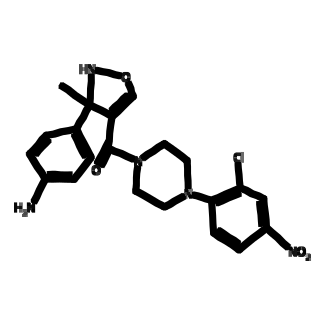 CC1(c2ccc(N)cc2)NOC=C1C(=O)N1CCN(c2ccc([N+](=O)[O-])cc2Cl)CC1